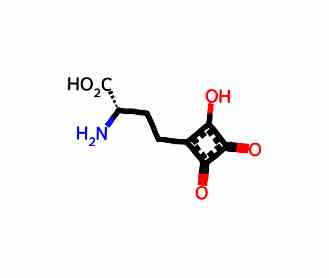 N[C@@H](CCc1c(O)c(=O)c1=O)C(=O)O